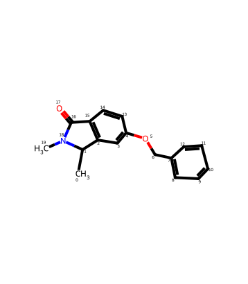 CC1c2cc(OCc3ccccc3)ccc2C(=O)N1C